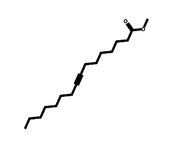 CCCCCCCC#CCCCCCCC(=O)OC